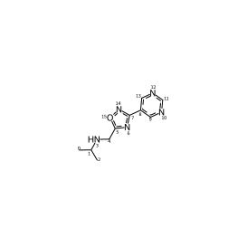 CC(C)NCc1nc(-c2cncnc2)no1